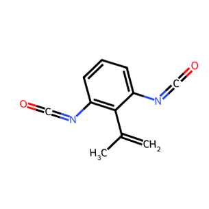 C=C(C)c1c(N=C=O)cccc1N=C=O